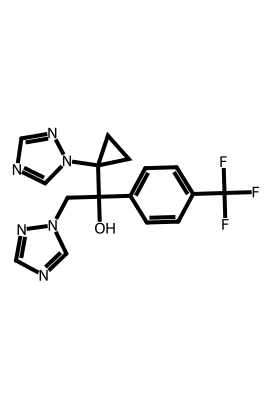 OC(Cn1cncn1)(c1ccc(C(F)(F)F)cc1)C1(n2cncn2)CC1